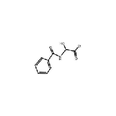 CCC(=O)C(O)NC(=O)c1ccccc1